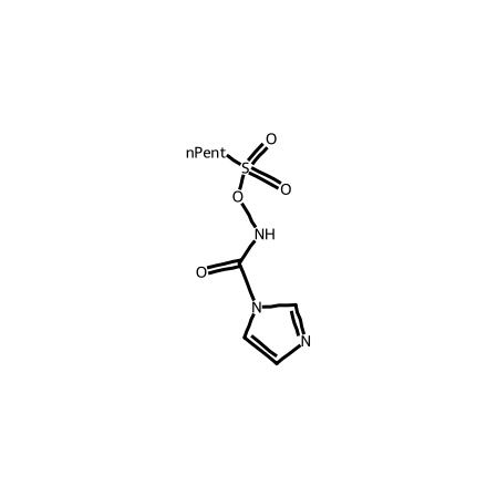 CCCCCS(=O)(=O)ONC(=O)n1ccnc1